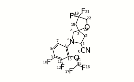 N#CC1CC2(CN1c1ccc(F)c(F)c1OC(F)F)CC(F)(F)CO2